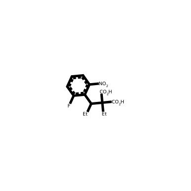 CCC(c1c(F)cccc1[N+](=O)[O-])C(CC)(C(=O)O)C(=O)O